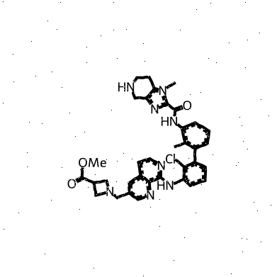 COC(=O)C1CN(Cc2cnc3c(Nc4cccc(-c5cccc(NC(=O)c6nc7c(n6C)CCNC7)c5C)c4Cl)nccc3c2)C1